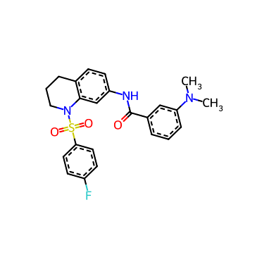 CN(C)c1cccc(C(=O)Nc2ccc3c(c2)N(S(=O)(=O)c2ccc(F)cc2)CCC3)c1